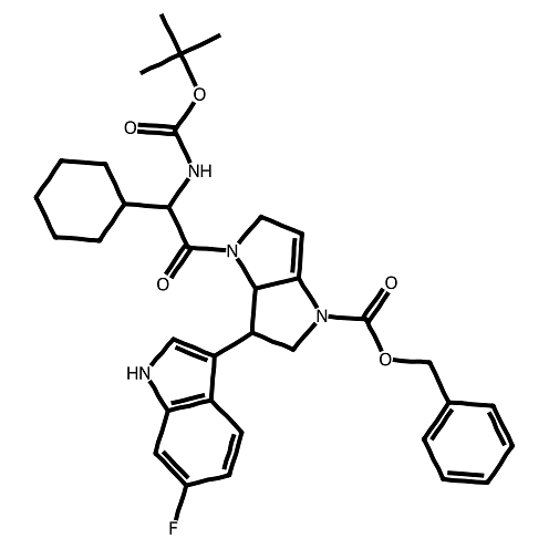 CC(C)(C)OC(=O)NC(C(=O)N1CC=C2C1C(c1c[nH]c3cc(F)ccc13)CN2C(=O)OCc1ccccc1)C1CCCCC1